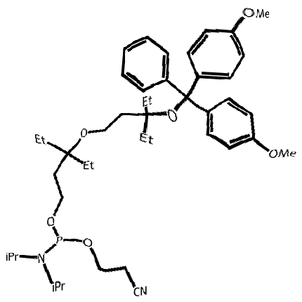 CCC(CC)(CCOP(OCCC#N)N(C(C)C)C(C)C)OCCC(CC)(CC)OC(c1ccccc1)(c1ccc(OC)cc1)c1ccc(OC)cc1